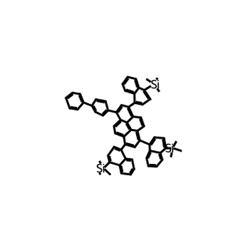 C[Si](C)(C)c1ccc(-c2cc(-c3ccc(-c4ccccc4)cc3)c3ccc4c(-c5ccc([Si](C)(C)C)c6ccccc56)cc(-c5ccc([Si](C)(C)C)c6ccccc56)c5ccc2c3c45)c2ccccc12